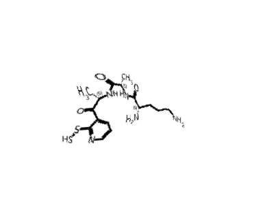 C[C@H](NC(=O)[C@@H](N)CCCN)C(=O)N[C@@H](C)C(=O)c1cccnc1SS